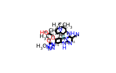 Cn1nnn(-c2cc(Nc3ncc(C#N)c(N[C@@H]4C[C@H]5CCCN5C(C)(C)C4)n3)c(F)cc2OCC(C)(C)O)c1=O